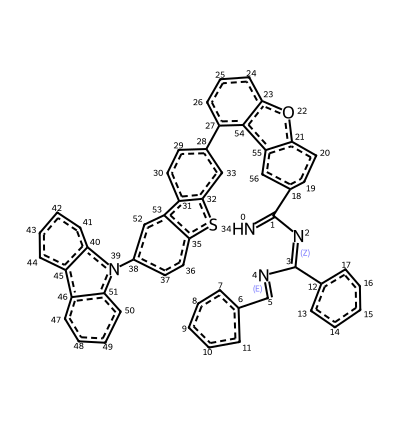 N=C(/N=C(\N=C\c1ccccc1)c1ccccc1)c1ccc2oc3cccc(-c4ccc5c(c4)sc4ccc(-n6c7ccccc7c7ccccc76)cc45)c3c2c1